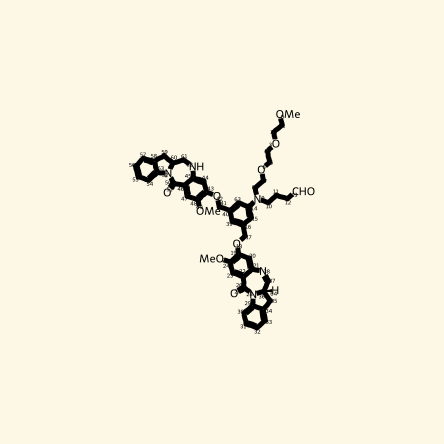 COCCOCCOCCN(CCCC=O)c1cc(COc2cc3c(cc2OC)C(=O)N2c4ccccc4C[C@H]2C=N3)cc(COc2cc3c(cc2OC)C(=O)N2c4ccccc4CC2CN3)c1